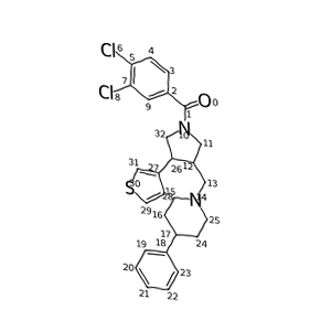 O=C(c1ccc(Cl)c(Cl)c1)N1CC(CN2CCC(c3ccccc3)CC2)C(c2ccsc2)C1